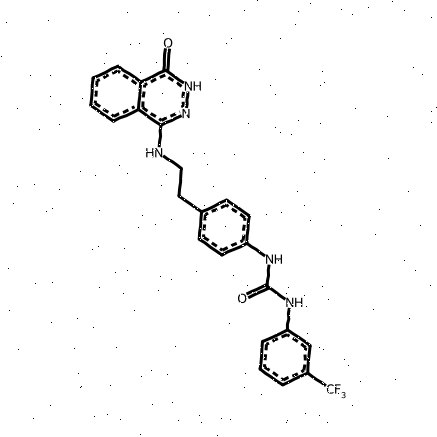 O=C(Nc1ccc(CCNc2n[nH]c(=O)c3ccccc23)cc1)Nc1cccc(C(F)(F)F)c1